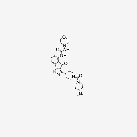 CN(C)C1CCN(C(=O)N2CCC(C3=C4C(=O)c5c(NC(=O)NN6CCOCC6)cccc5C4N=N3)CC2)CC1